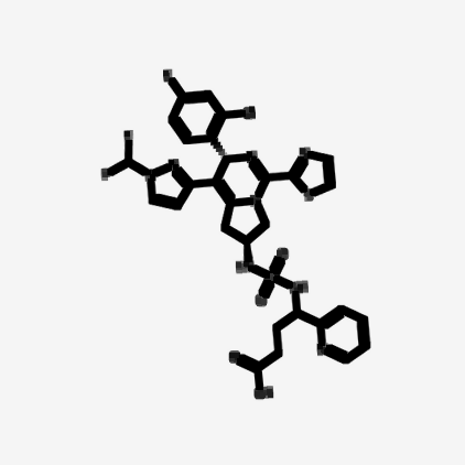 O=C(O)CCC(NS(=O)(=O)N[C@H]1CC2=C(c3ccn(C(F)F)n3)[C@H](c3ccc(F)cc3Cl)N=C(c3nccs3)N2C1)c1ccccn1